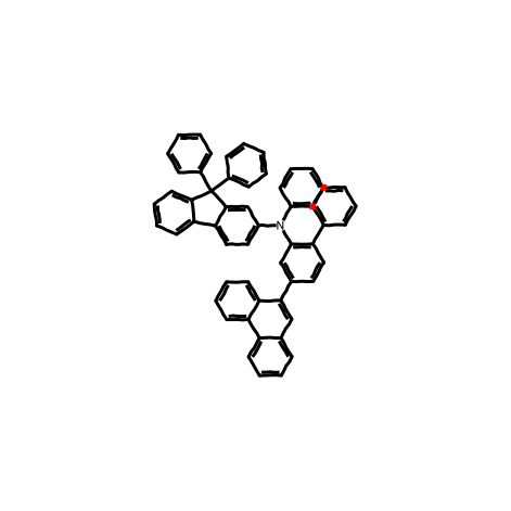 c1ccc(-c2ccc(-c3cc4ccccc4c4ccccc34)cc2N(c2ccccc2)c2ccc3c(c2)C(c2ccccc2)(c2ccccc2)c2ccccc2-3)cc1